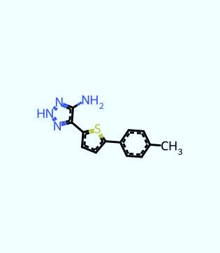 Cc1ccc(-c2ccc(-c3n[nH]nc3N)s2)cc1